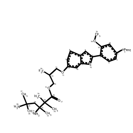 CCCCCc1ccc(-c2cc3ccc(OCC(COC(=O)C(C)(C)C(C)(N)CC(C)(C)N)C(F)(F)F)cc3s2)c(OC(F)(F)F)c1